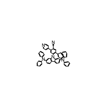 N#Cc1cc(-c2ccccc2)c(-n2c3cc(N(c4ccccc4)c4ccccc4)ccc3c3ccc(N(c4ccccc4)c4ccccc4)cc32)cc1-c1ccncc1